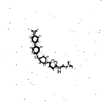 CN(C)CCNC(=O)/C=C\C(=O)N1CCC(Oc2ccc(-c3ccc(N(C)C)cc3)cn2)CC1